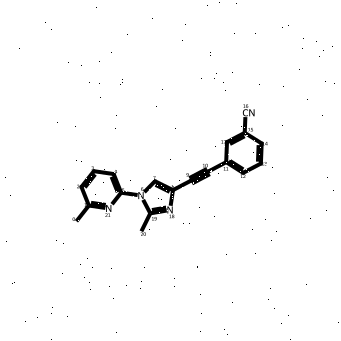 Cc1cccc(-n2cc(C#Cc3cccc(C#N)c3)nc2C)n1